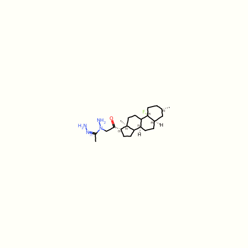 C/C(=N/N)N(N)CC(=O)[C@H]1CCC2[C@@H]3CC[C@@H]4C[C@@H](C)CC[C@]4(F)C3CC[C@@]21C